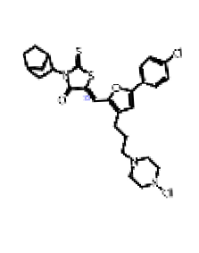 O=C1/C(=C/c2oc(-c3ccc(Cl)cc3)cc2CCCN2CCN(Cl)CC2)SC(=S)N1C1CC2CCC1C2